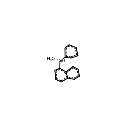 C[Si@H](c1ccccc1)c1cccc2ccccc12